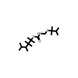 CC(C)C(C)C(C)(C)C(C)(C)OC(=O)NCSC(C)(C)C(C)C